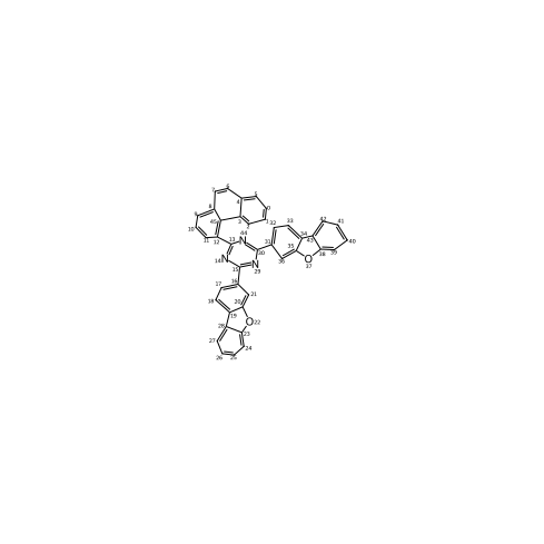 c1ccc2c(c1)ccc1cccc(-c3nc(-c4ccc5c(c4)oc4ccccc45)nc(-c4ccc5c(c4)oc4ccccc45)n3)c12